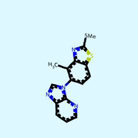 CSc1nc2c(C)c(-n3cnc4cccnc43)ccc2s1